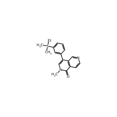 CCS(C)(C)c1cccc(-c2cn(C)c(=O)c3ccncc23)c1